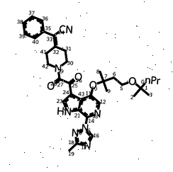 CCCC(C)(C)OCCC(C)(C)Oc1cnc(-n2cnc(C)n2)c2[nH]cc(C(=O)C(=O)N3CCC(=C(C#N)c4ccccc4)CC3)c12